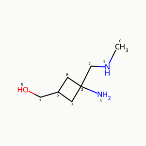 CNCC1(N)CC(CO)C1